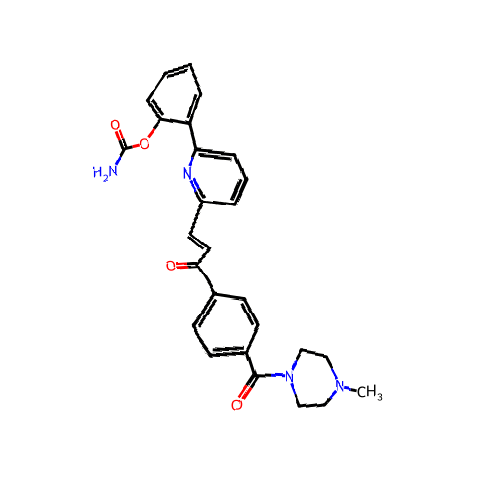 CN1CCN(C(=O)c2ccc(C(=O)C=Cc3cccc(-c4ccccc4OC(N)=O)n3)cc2)CC1